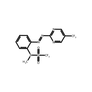 CN(c1ccccc1N=Nc1ncc(C(F)(F)F)cn1)S(=O)(=O)C(F)(F)F